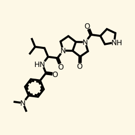 CC(C)CC(NC(=O)c1ccc(N(C)C)cc1)C(=O)N1CCC2C1C(=O)CN2C(=O)C1CCNC1